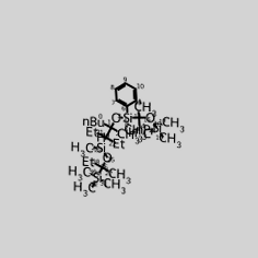 CCCCC(C)(O[Si](C)(c1ccccc1)C(C)(CCC)O[Si](C)(C)C)C(CC)(CC)[SiH](C)OC(C)(CC)[Si](C)(C)C